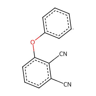 N#Cc1cccc(Oc2c[c]ccc2)c1C#N